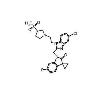 CS(=O)(=O)C1CCN(CCn2c(CN3C(=O)C4(CC4)c4ccc(F)cc43)nc3cc(Cl)ccc32)C1